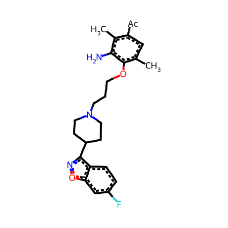 CC(=O)c1cc(C)c(OCCCN2CCC(c3noc4cc(F)ccc34)CC2)c(N)c1C